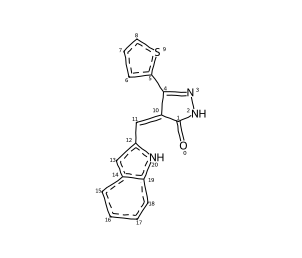 O=C1NN=C(c2cccs2)C1=Cc1cc2ccccc2[nH]1